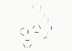 C(=C/CCCOC1CCCCO1)/C/C=C\CC[P+](c1ccccc1)(c1ccccc1)c1ccccc1.[Br-]